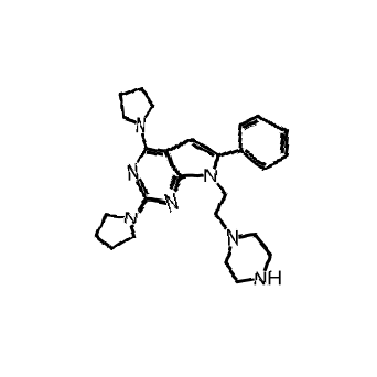 c1ccc(-c2cc3c(N4CCCC4)nc(N4CCCC4)nc3n2CCN2CCNCC2)cc1